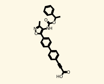 Cc1noc(-c2ccc(-c3ccc(C#CC(=O)O)cc3)cc2)c1NC(=O)OC(C)c1ccccc1